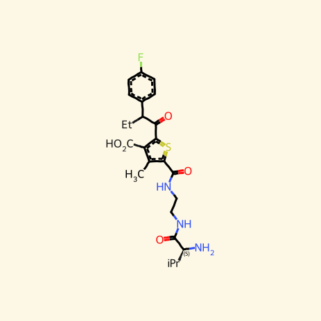 CCC(C(=O)c1sc(C(=O)NCCNC(=O)[C@@H](N)C(C)C)c(C)c1C(=O)O)c1ccc(F)cc1